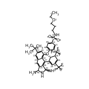 CCOCCCNS(=O)(=O)c1ccc(Oc2cc(C(C)(C)C)cc3cc4c(c(C5=CC(C(F)(F)F)=CC(C(F)(F)F)C5)c23)C(=N)NC4N)cc1